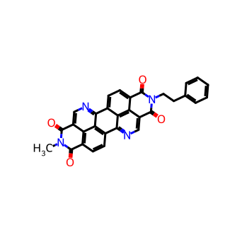 CN1C(=O)c2ccc3c4ncc5c6c(ccc(c7ncc(c2c37)C1=O)c64)C(=O)N(CCc1ccccc1)C5=O